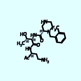 CC(=O)[C@H](CCN)NC(=O)[C@@H](NC(=O)[C@@H]1CNCCN1Cc1ccccc1C(F)(F)F)[C@H](C)O